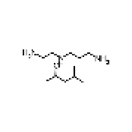 CC(=O)CC(C)C.NCCCNCCN